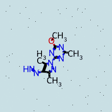 COc1nc(C)nc(-n2nc(C)c(N=N)c2C)n1